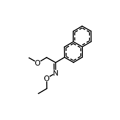 CCON=C(COC)c1ccc2ccccc2c1